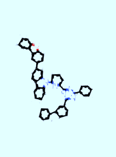 c1ccc(-c2cccc(-c3nc(-c4ccccc4)nc(-c4cccc(-n5c6ccccc6c6ccc(-c7ccc8oc9ccccc9c8c7)cc65)n4)n3)c2)cc1